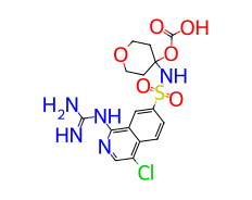 N=C(N)Nc1ncc(Cl)c2ccc(S(=O)(=O)NC3(OC(=O)O)CCOCC3)cc12